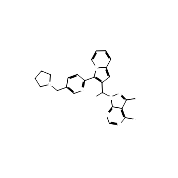 CC(c1cc2ccccn2c1-c1ccc(CN2CCCC2)cn1)n1nc(I)c2c(N)ncnc21